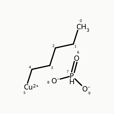 CCCC[CH2][Cu+2].O=[PH]([O-])[O-]